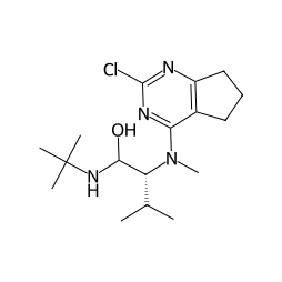 CC(C)[C@H](C(O)NC(C)(C)C)N(C)c1nc(Cl)nc2c1CCC2